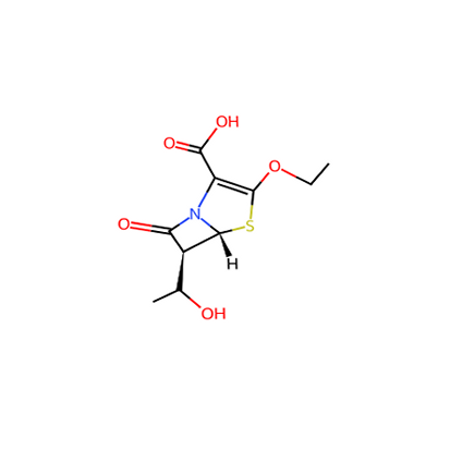 CCOC1=C(C(=O)O)N2C(=O)[C@H](C(C)O)[C@H]2S1